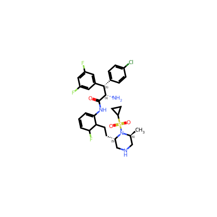 C[C@H]1CNC[C@H](CCC2C(NC(=O)[C@@H](N)[C@@H](c3ccc(Cl)cc3)c3cc(F)cc(F)c3)=CC=CC2F)N1S(=O)(=O)C1CC1